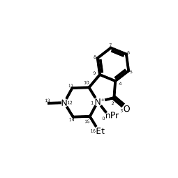 CCC[N+]12C(=O)c3ccccc3C1CN(C)CC2CC